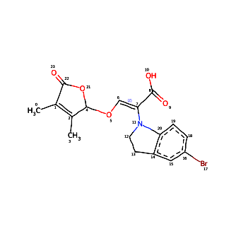 CC1=C(C)C(O/C=C(/C(=O)O)N2CCc3cc(Br)ccc32)OC1=O